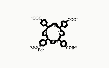 O=C([O-])c1ccc(-c2c3nc(c(-c4ccc(C(=O)[O-])cc4)c4ccc([nH]4)c(-c4ccc(C(=O)[O-])cc4)c4nc(c(-c5ccc(C(=O)[O-])cc5)c5ccc2[nH]5)C=C4)C=C3)cc1.[Pd+2].[Pd+2]